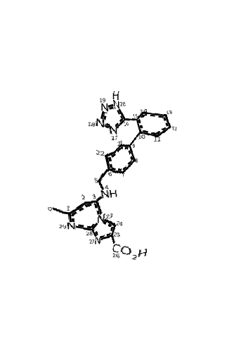 Cc1cc(NCc2ccc(-c3ccccc3-c3nnn[nH]3)cc2)n2cc(C(=O)O)nc2n1